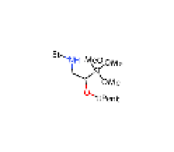 CCCCCOC(CNCC)[Si](OC)(OC)OC